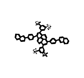 C[Si](C)(C)c1cc(-c2cc(-c3ccc(-c4ccc5ccccc5c4)cc3)c3ccc4c(-c5cc([Si](C)(C)C)cc([Si](C)(C)C)c5)cc(-c5ccc(-c6ccc7ccccc7c6)cc5)c5ccc2c3c54)cc([Si](C)(C)C)c1